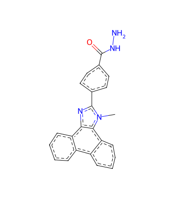 Cn1c(-c2ccc(C(=O)NN)cc2)nc2c3ccccc3c3ccccc3c21